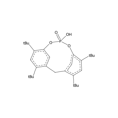 CC(C)(C)c1cc(C(C)(C)C)c2cc1Cc1cc(c(C(C)(C)C)cc1C(C)(C)C)OP(=O)(O)O2